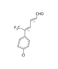 O=C/C=C/C=C(/c1ccc(Cl)cc1)C(F)(F)F